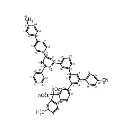 CCCCCCCCC1(CCCCCCCC)c2cc(C)ccc2-c2ccc(-c3cc(-c4ccc(C#N)cc4)cc(-c4cccc(-c5cc(-c6ccc(-c7ccc(C)cc7)cc6)nc(-c6ccccc6)n5)c4)c3)cc21